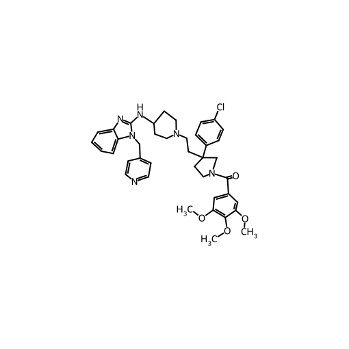 COc1cc(C(=O)N2CCC(CCN3CCC(Nc4nc5ccccc5n4Cc4ccncc4)CC3)(c3ccc(Cl)cc3)C2)cc(OC)c1OC